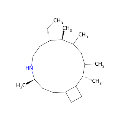 CC[C@H]1CCN[C@H](C)CCC2CCC2[C@@H](C)C(C)CC(C)[C@@H]1C